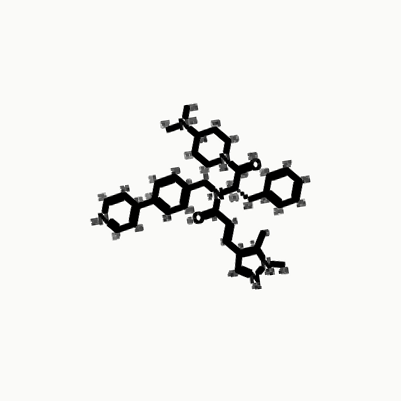 Cc1c(C=CC(=O)N(Cc2ccc(-c3ccncc3)cc2)[C@@H](Cc2ccccc2)C(=O)N2CCC(N(C)C)CC2)cnn1C